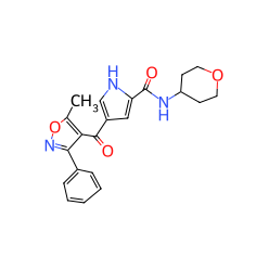 Cc1onc(-c2ccccc2)c1C(=O)c1c[nH]c(C(=O)NC2CCOCC2)c1